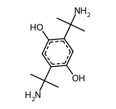 CC(C)(N)c1cc(O)c(C(C)(C)N)cc1O